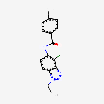 CC(=O)Nc1ccc(C(=O)Nc2ccc3c(nnn3CC(C)(C)C)c2Br)cc1